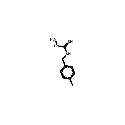 N=C(NN)NCc1ccc(F)cc1